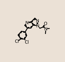 CN(C)C(=O)Cn1ncc2ncc(-c3ccc(Cl)c(Cl)c3)cc21